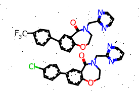 O=C1c2cc(-c3ccc(C(F)(F)F)cc3)ccc2OCCN1Cc1ncccn1.O=C1c2cc(-c3ccc(Cl)cc3)ccc2OCCN1Cc1ncccn1